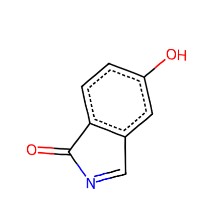 O=C1N=Cc2cc(O)ccc21